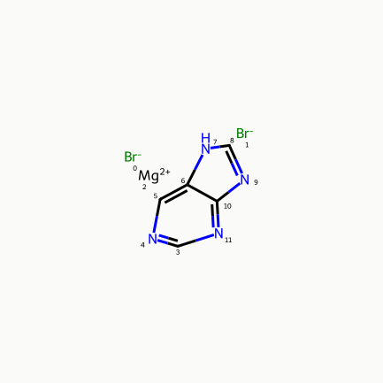 [Br-].[Br-].[Mg+2].c1ncc2[nH]cnc2n1